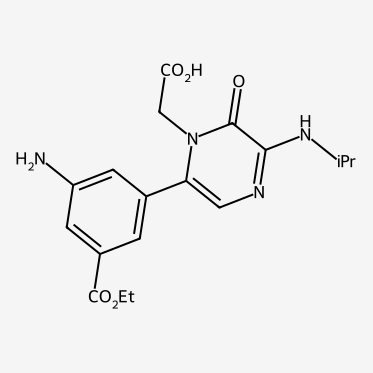 CCOC(=O)c1cc(N)cc(-c2cnc(NC(C)C)c(=O)n2CC(=O)O)c1